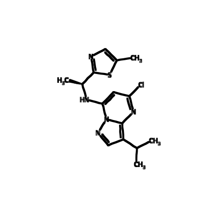 Cc1cnc([C@H](C)Nc2cc(Cl)nc3c(C(C)C)cnn23)s1